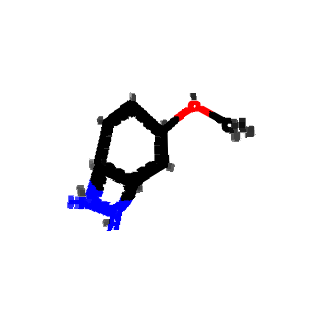 COc1ccc2[nH][nH]c2c1